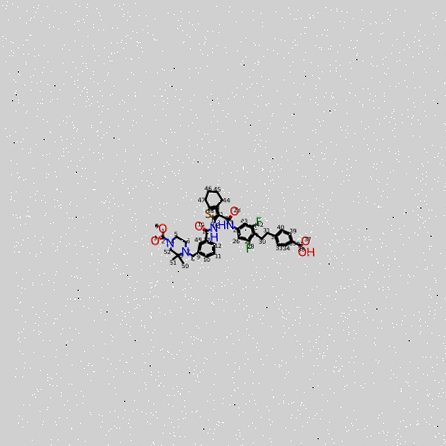 COC(=O)N1CCN(Cc2cccc(C(=O)Nc3sc4c(c3C(=O)Nc3cc(F)c(CCc5ccc(C(=O)O)cc5)c(F)c3)CCCC4)c2)C(C)(C)C1